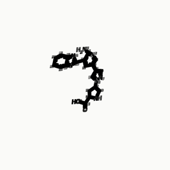 Nc1ncc(-c2cnn(C3CNC(C(=O)O)C3)c2)cc1-c1nc2ccccc2s1